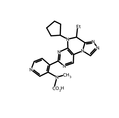 CCC1c2nncn2-c2cnc(-c3ccncc3N(C)C(=O)O)nc2N1C1CCCC1